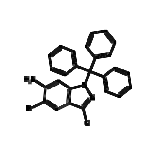 Nc1cc2c(cc1Br)c(Cl)nn2C(c1ccccc1)(c1ccccc1)c1ccccc1